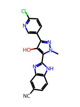 Cn1nc(-c2ccc(Cl)nc2)c(O)c1-c1nc2cc(C#N)ccc2[nH]1